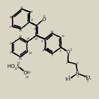 CCN(CC)CCOc1ccc(C(=C(Cl)c2ccccc2)c2ccccc2)cc1.O=S(=O)(O)O